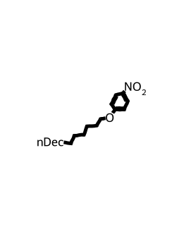 CCCCCCCCCCCCCCCCOc1ccc([N+](=O)[O-])cc1